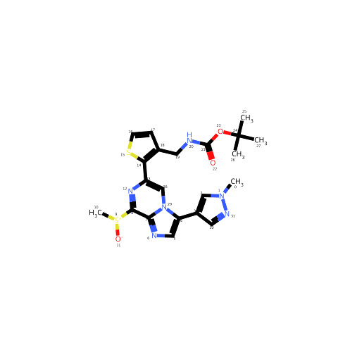 Cn1cc(-c2cnc3c([S+](C)[O-])nc(-c4sccc4CNC(=O)OC(C)(C)C)cn23)cn1